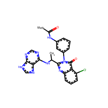 CNC(=O)Nc1cccc(-n2c(C(C)Nc3ncnc4[nH]cnc34)nc3cccc(Cl)c3c2=O)c1